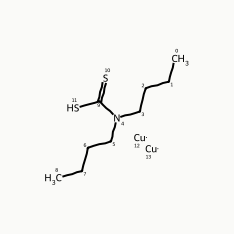 CCCCN(CCCC)C(=S)S.[Cu].[Cu]